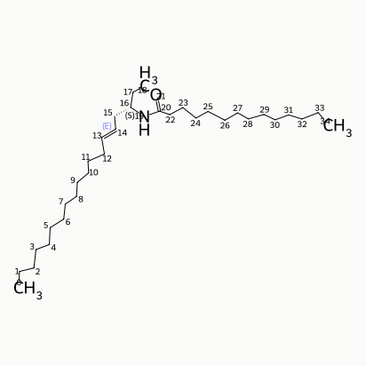 CCCCCCCCCCCCC/C=C/C[C@H](CC)NC(=O)CCCCCCCCCCCCC